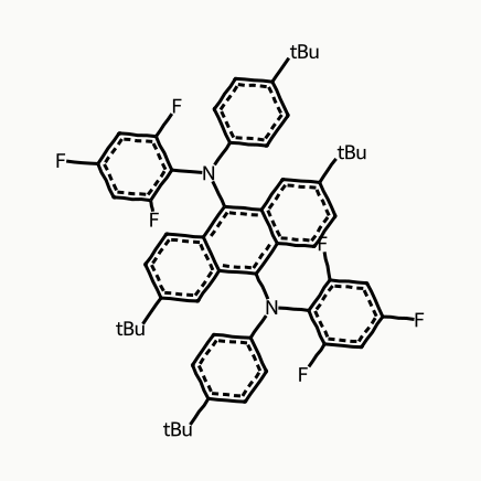 CC(C)(C)c1ccc(N(c2c(F)cc(F)cc2F)c2c3ccc(C(C)(C)C)cc3c(N(c3ccc(C(C)(C)C)cc3)c3c(F)cc(F)cc3F)c3ccc(C(C)(C)C)cc23)cc1